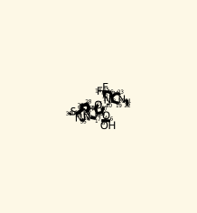 C=C[C@@H]1[C@H](OC(C)(C)O)[C@@H](CN2CC(F)(F)CC23CCN(CC)CC3)O[C@H]1c1ccc2c(SC)ncnn12